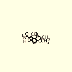 Cc1c(C(=O)NI)oc2ccc3c(c12)C(=O)CC(C)(C)O3